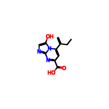 C=C(CC)c1cc(C(=O)O)nc2ncc(O)n12